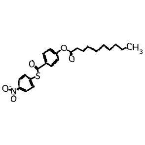 CCCCCCCCCC(=O)Oc1ccc(C(=O)Sc2ccc([N+](=O)[O-])cc2)cc1